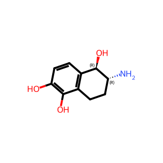 N[C@@H]1CCc2c(ccc(O)c2O)[C@H]1O